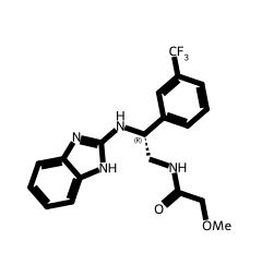 COCC(=O)NC[C@H](Nc1nc2ccccc2[nH]1)c1cccc(C(F)(F)F)c1